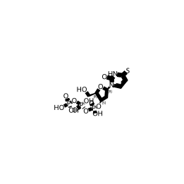 O=c1[nH]c(=S)ccn1[C@H]1C[C@H](OP(=O)(O)OP(=O)(O)OP(=O)(O)O)[C@@H](CO)O1